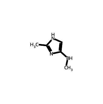 CBc1c[nH]c(C)n1